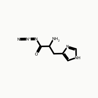 [N-]=[N+]=NC(=O)C(N)Cc1c[nH]cn1